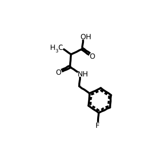 CC(C(=O)O)C(=O)NCc1cccc(F)c1